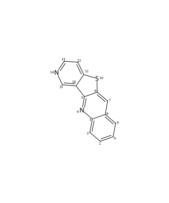 c1ccc2nc3c(cc2c1)sc1ccncc13